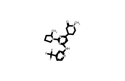 CC1CCCN1c1nc(Nc2cc(C(F)(F)F)ccn2)cc(C2CCN(C)C(=O)C2)n1